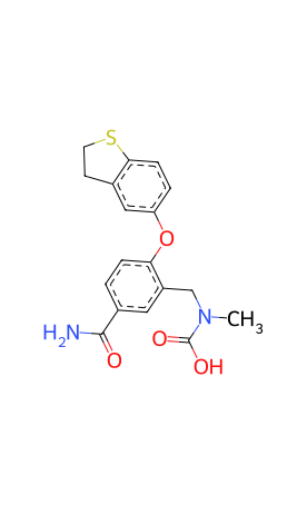 CN(Cc1cc(C(N)=O)ccc1Oc1ccc2c(c1)CCS2)C(=O)O